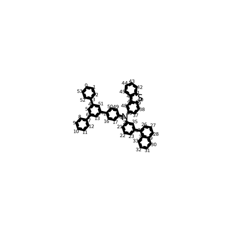 c1ccc(-c2cc(-c3ccccc3)cc(-c3ccc(N(c4cccc(-c5cccc6ccccc56)c4)c4ccc5sc6ccccc6c5c4)cc3)c2)cc1